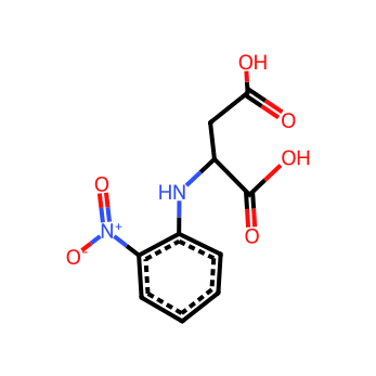 O=C(O)CC(Nc1ccccc1[N+](=O)[O-])C(=O)O